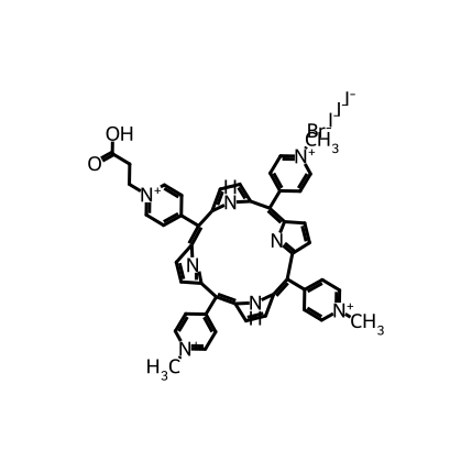 C[n+]1ccc(-c2c3nc(c(-c4cc[n+](C)cc4)c4ccc([nH]4)c(-c4cc[n+](CCC(=O)O)cc4)c4nc(c(-c5cc[n+](C)cc5)c5ccc2[nH]5)C=C4)C=C3)cc1.[Br-].[I-].[I-].[I-]